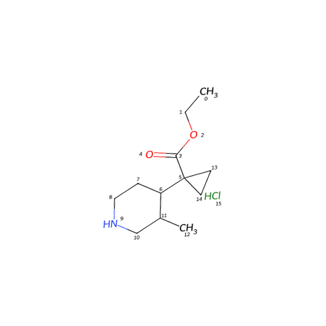 CCOC(=O)C1(C2CCNCC2C)CC1.Cl